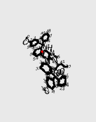 COc1ccc(C(Nc2ncnc3c2ncn3C(COC(c2ccccc2)(c2ccccc2)c2ccc(OC)cc2)CC(C)O)(c2ccccc2)c2ccccc2)cc1